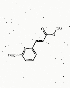 CC(C)(C)OC(=O)/C=C/c1cccc(C=O)n1